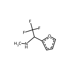 CNC(c1ccco1)C(F)(F)F